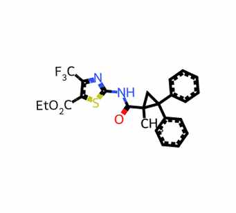 CCOC(=O)c1sc(NC(=O)C2(C)CC2(c2ccccc2)c2ccccc2)nc1C(F)(F)F